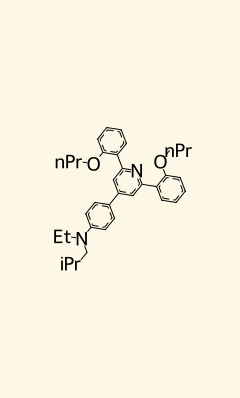 CCCOc1ccccc1-c1cc(-c2ccc(N(CC)CC(C)C)cc2)cc(-c2ccccc2OCCC)n1